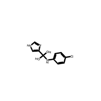 OC(O)(Nc1ccc(Cl)cc1)c1c[nH]cn1